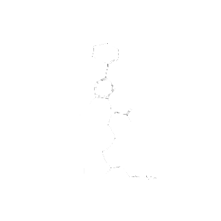 CCC(=O)N(CCCC(C)OCOC)c1cc(C2=CCCCC2)sc1C(=O)O